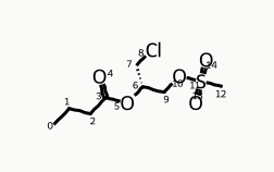 CCCC(=O)O[C@H](CCl)COS(C)(=O)=O